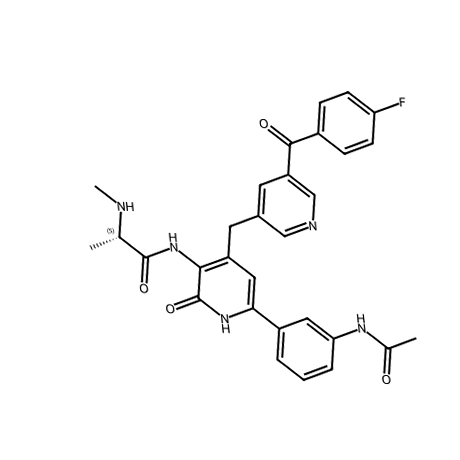 CN[C@@H](C)C(=O)Nc1c(Cc2cncc(C(=O)c3ccc(F)cc3)c2)cc(-c2cccc(NC(C)=O)c2)[nH]c1=O